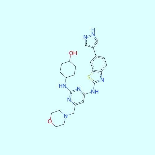 OC1CCC(Nc2nc(CN3CCOCC3)cc(Nc3nc4ccc(-c5cn[nH]c5)cc4s3)n2)CC1